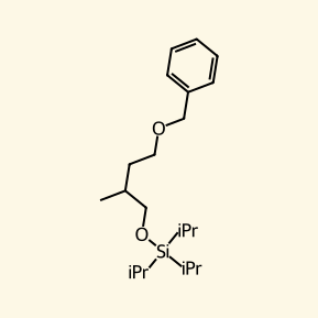 CC(CCOCc1ccccc1)CO[Si](C(C)C)(C(C)C)C(C)C